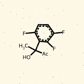 CC(=O)C(C)(O)c1c(F)ccc(F)c1F